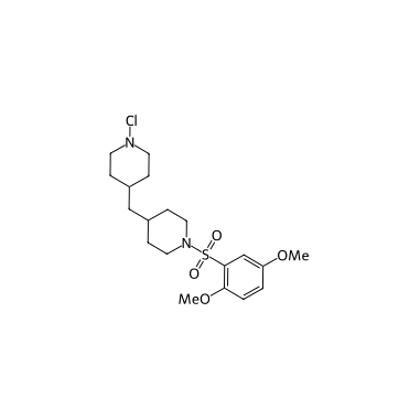 COc1ccc(OC)c(S(=O)(=O)N2CCC(CC3CCN(Cl)CC3)CC2)c1